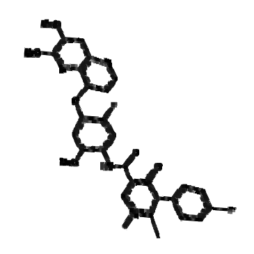 COc1cc(Oc2ccnc3cc(OC)c(OC)nc23)c(F)cc1NC(=O)c1cn(C)c(C)c(-c2ccc(F)cc2)c1=O